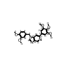 COc1ccc(Cn2cnc3cnc(-c4cc(OC)c(OC)c(OC)c4)cc32)cc1OC